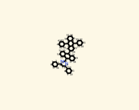 c1ccc(-c2cc(-c3ccccc3)nc(-c3c4ccccc4c(-c4ccc5c(-c6ccccc6)c6ccccc6c(-c6ccccc6)c5c4)c4ccccc34)n2)cc1